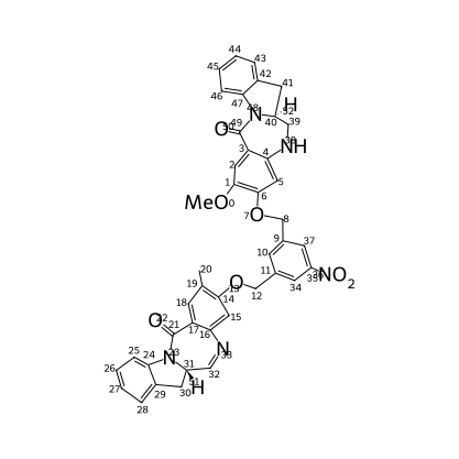 COc1cc2c(cc1OCc1cc(COc3cc4c(cc3C)C(=O)N3c5ccccc5C[C@H]3C=N4)cc([N+](=O)[O-])c1)NC[C@@H]1Cc3ccccc3N1C2=O